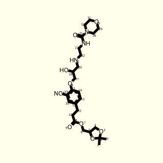 CC1(C)OCC(COC(=O)CCc2ccc(OCC(O)CNCCNC(=O)N3CCOCC3)c(C#N)c2)O1